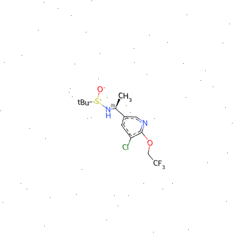 C[C@H](N[S+]([O-])C(C)(C)C)c1cnc(OCC(F)(F)F)c(Cl)c1